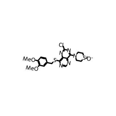 COc1ccc(CSc2ncnc3c(N4CC[S+]([O-])CC4)nc(Cl)nc23)cc1OC